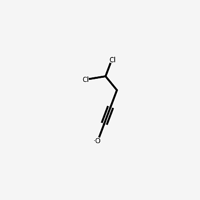 [O]C#CCC(Cl)Cl